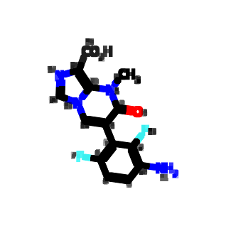 Cn1c(=O)c(-c2c(F)ccc(N)c2F)cn2cnc(C(=O)O)c12